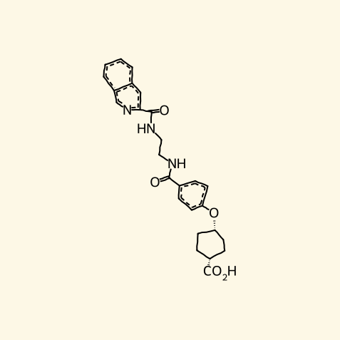 O=C(NCCNC(=O)c1cc2ccccc2cn1)c1ccc(O[C@H]2CC[C@@H](C(=O)O)CC2)cc1